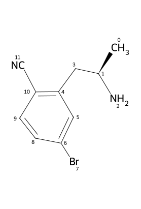 C[C@@H](N)Cc1cc(Br)ccc1C#N